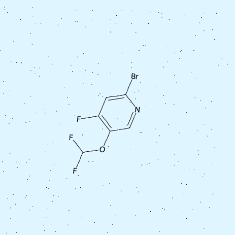 Fc1cc(Br)ncc1OC(F)F